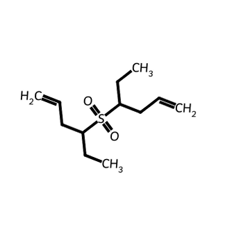 C=CCC(CC)S(=O)(=O)C(CC)CC=C